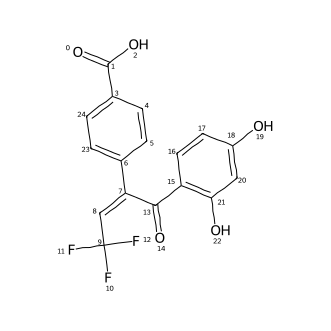 O=C(O)c1ccc(C(=CC(F)(F)F)C(=O)c2ccc(O)cc2O)cc1